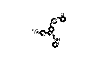 FC(F)(F)Oc1ccc(-c2cn(CCNc3ccccn3)c3ccc(CN4CCN(Cc5ccccc5Cl)CC4)cc23)nc1